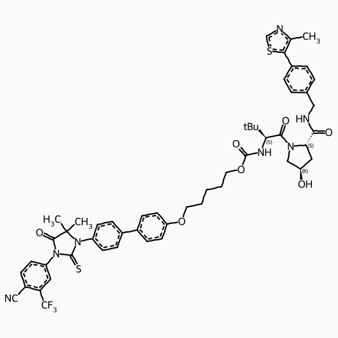 Cc1ncsc1-c1ccc(CNC(=O)[C@@H]2C[C@@H](O)CN2C(=O)[C@@H](NC(=O)OCCCCCOc2ccc(-c3ccc(N4C(=S)N(c5ccc(C#N)c(C(F)(F)F)c5)C(=O)C4(C)C)cc3)cc2)C(C)(C)C)cc1